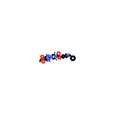 CCS(=O)(=O)c1cnc(N2C[C@@H](C)N(C(=O)OC3CC4(C3)CN(Cc3ccccc3)C4)[C@@H](C)C2)nc1